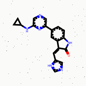 O=C1Nc2ccc(-c3cncc(NC4CC4)n3)cc2/C1=C/c1cnc[nH]1